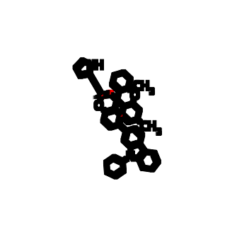 CC1C=CC2C(C1)OC1(C)CCCC=C1C21c2ccc(-c3ccc[nH]3)cc2Oc2ccc(-c3ccc4c5c(n(C6=CCCC=C6)c4c3)CCC=C5)cc21